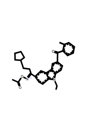 CCn1c2ccc(C(=O)c3ccccc3C)cc2c2cc(/C(CCC3CCCC3)=N/OC(C)=O)ccc21